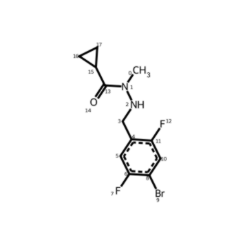 CN(NCc1cc(F)c(Br)cc1F)C(=O)C1CC1